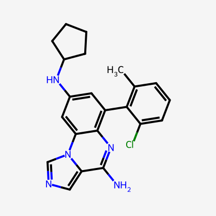 Cc1cccc(Cl)c1-c1cc(NC2CCCC2)cc2c1nc(N)c1cncn12